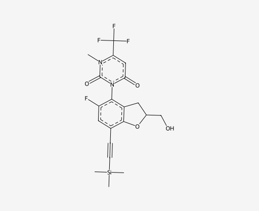 Cn1c(C(F)(F)F)cc(=O)n(-c2c(F)cc(C#C[Si](C)(C)C)c3c2CC(CO)O3)c1=O